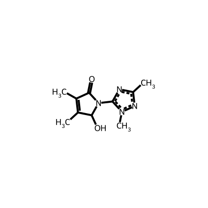 CC1=C(C)C(O)N(c2nc(C)nn2C)C1=O